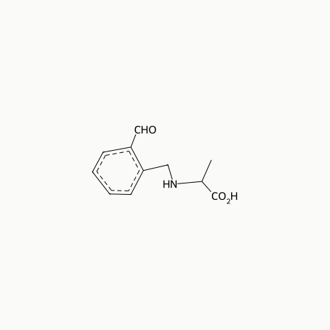 CC(NCc1ccccc1C=O)C(=O)O